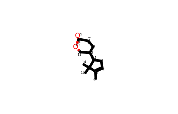 CC1=CCC(C2CCC(=O)OC2)C1(C)C